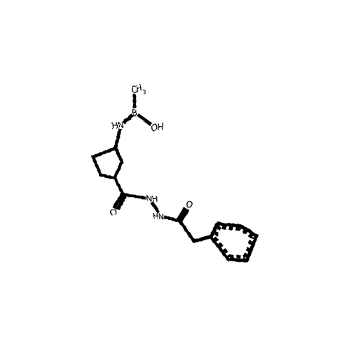 CB(O)NC1CCC(C(=O)NNC(=O)Cc2ccccc2)C1